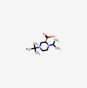 CC(C)N1CCN(C(C)(C)C)C[C@H]1C(=O)O